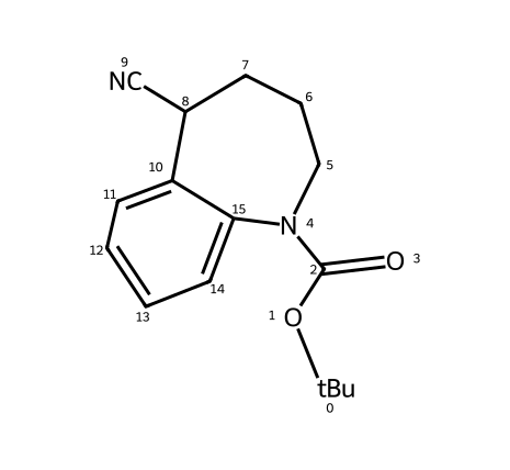 CC(C)(C)OC(=O)N1CCCC(C#N)c2ccccc21